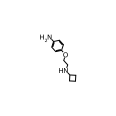 Nc1ccc(OCCNC2CCC2)cc1